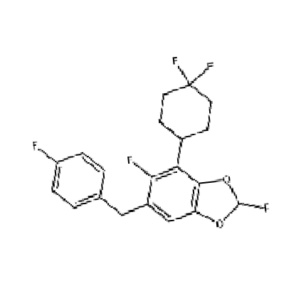 Fc1ccc(Cc2cc3c(c(C4CCC(F)(F)CC4)c2F)OC(F)O3)cc1